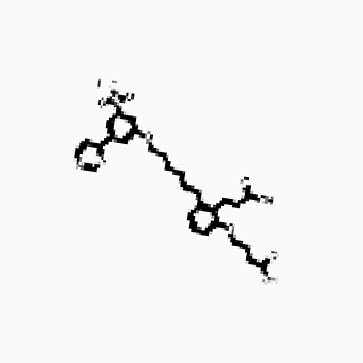 CS(=O)(=O)c1cc(OCCCCCCc2cccc(OCCCC(=O)O)c2CCC(=O)O)cc(-c2ccncn2)c1